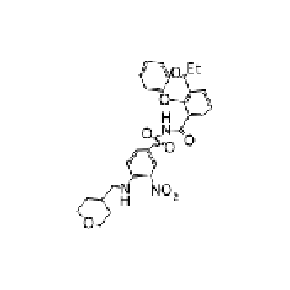 CCC(=O)c1cccc(C(=O)NS(=O)(=O)c2ccc(NCC3CCOCC3)c([N+](=O)[O-])c2)c1Oc1ccccc1